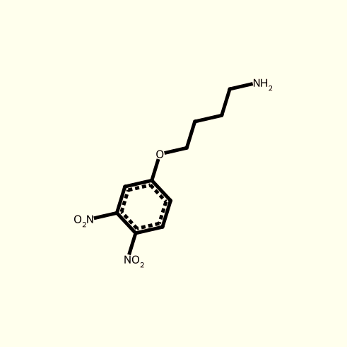 NCCCCOc1ccc([N+](=O)[O-])c([N+](=O)[O-])c1